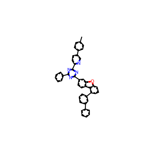 Cc1ccc(-c2ccc(-c3nc(-c4ccccc4)nc(-c4ccc5c(c4)oc4cccc(-c6cccc(-c7ccccc7)c6)c45)n3)nc2)cc1